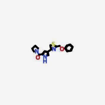 O=C(c1cc(-c2csc(COc3ccccc3)n2)c[nH]1)N1CCCC1